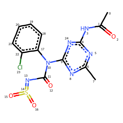 CC(=O)Nc1nc(C)nc(N(C(=O)N=S(=O)=O)c2ccccc2Cl)n1